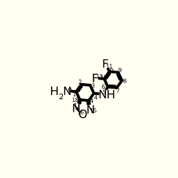 NC1=CCC(Nc2cccc(F)c2F)c2nonc21